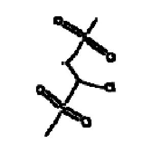 CS(=O)(=O)[CH]C(Cl)S(C)(=O)=O